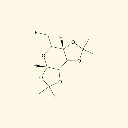 CC1(C)OC2C3OC(C)(C)O[C@H]3C(CF)O[C@H]2O1